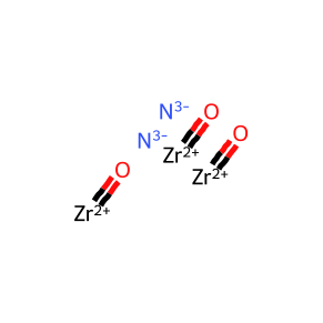 [N-3].[N-3].[O]=[Zr+2].[O]=[Zr+2].[O]=[Zr+2]